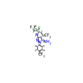 Nc1c2c(C(F)(F)F)cc(C(F)(F)C(F)(F)F)nc2nn1-c1ccc(C(F)(F)F)cc1